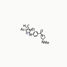 CCn1c(C)c(C(C)=O)s/c1=N/c1ccc(C(=O)N2CCC(NC)C2)cc1